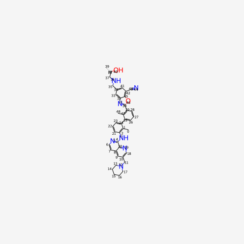 Cc1c(Nc2nccc3cc(CN4CCCCC4)cnc23)cccc1-c1cccc(-c2nc3cc(CNC[C@H](C)O)cc(C#N)c3o2)c1C